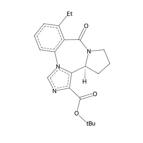 CCc1cccc2c1C(=O)N1CCC[C@H]1c1c(C(=O)OC(C)(C)C)ncn1-2